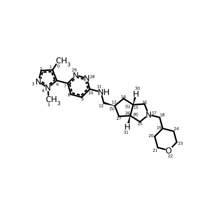 Cc1cnn(C)c1-c1ccc(NC[C@H]2C[C@@H]3CN(CC4CCOCC4)C[C@@H]3C2)nn1